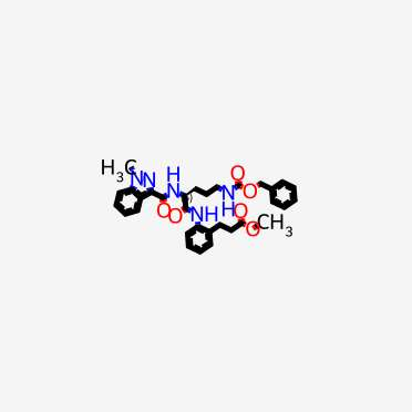 COC(=O)CCc1ccccc1NC(=O)[C@H](CCCNC(=O)OCc1ccccc1)NC(=O)c1nn(C)c2ccccc12